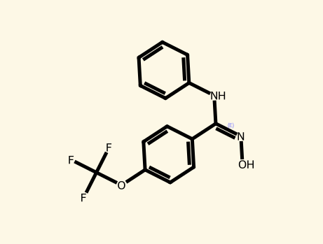 O/N=C(/Nc1ccccc1)c1ccc(OC(F)(F)F)cc1